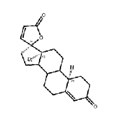 CC[C@]12CCC3C(CCC4=CC(=O)CC[C@@H]43)C1CC[C@@]21C=CC(=O)O1